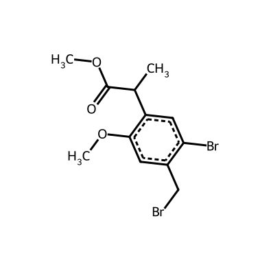 COC(=O)C(C)c1cc(Br)c(CBr)cc1OC